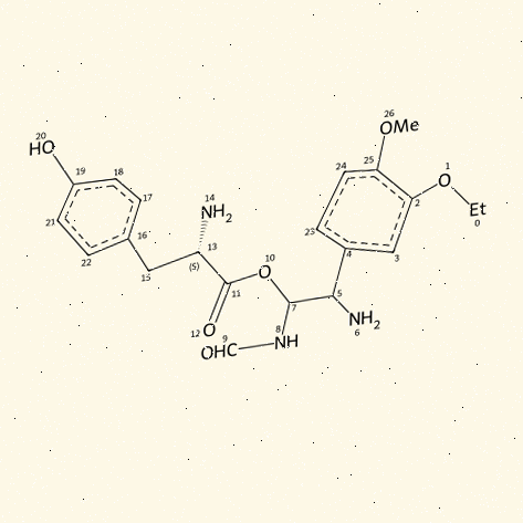 CCOc1cc(C(N)C(NC=O)OC(=O)[C@@H](N)Cc2ccc(O)cc2)ccc1OC